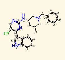 C[C@H]1C[C@H](Nc2ncc(Cl)c(-c3c[nH]c4ccccc34)n2)CN(Cc2ccccc2)C1